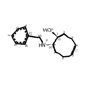 O[C@H]1CC/C=C\CC[C@@H]1NCc1ccccc1